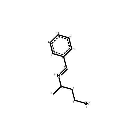 CC(C)CCC(C)/N=C/c1ccccc1